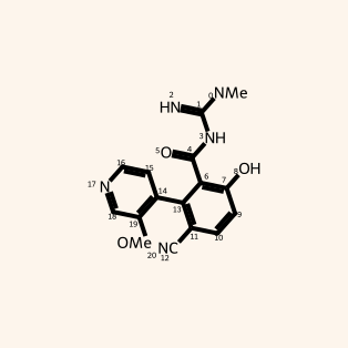 CNC(=N)NC(=O)c1c(O)ccc(C#N)c1-c1ccncc1OC